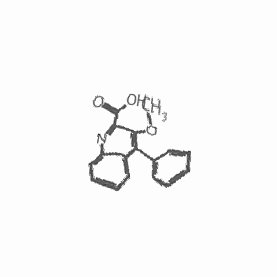 COc1c(C(=O)O)nc2ccccc2c1-c1ccccc1